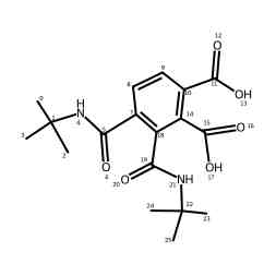 CC(C)(C)NC(=O)c1ccc(C(=O)O)c(C(=O)O)c1C(=O)NC(C)(C)C